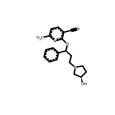 Cc1ccc(C#N)c(OC(CCN2CC[C@@H](O)C2)c2ccccc2)n1